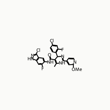 COc1cc(C2=NC(c3ccc(Cl)cc3F)C(C(=O)Nc3cc4c(Cl)n[nH]c4cc3F)=C(C)N2)ccn1